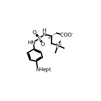 CCCCCCCc1ccc(NS(=O)(=O)N[C@H](CC(=O)[O-])C[N+](C)(C)C)cc1